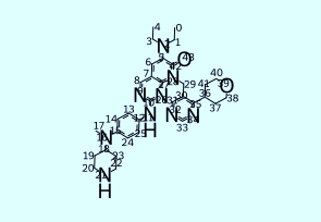 CCN(CC)c1cc2cnc(Nc3ccc(N(C)C4CCNCC4)cc3)nc2n(Cc2cncnc2C2CCOCC2)c1=O